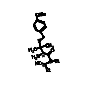 CC[C@@H](C#N)N(CC)C(=O)[C@@H](N)C(C)(C)SCc1ccc(OC)cc1